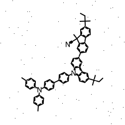 CCC(C)(C)c1ccc2c(c1)C(C)(C#N)c1cc(-c3ccc4c(c3)c3cc(C(C)(C)CC)ccc3n4-c3ccc(-c4ccc(N(c5ccc(C)cc5)c5ccc(C)cc5)cc4)cc3)ccc1-2